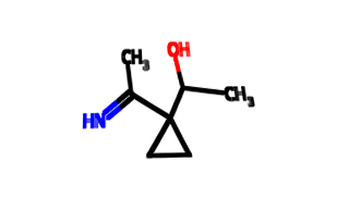 CC(=N)C1(C(C)O)CC1